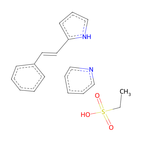 C(=Cc1ccc[nH]1)c1ccccc1.CCS(=O)(=O)O.c1ccncc1